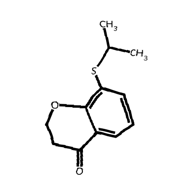 CC(C)Sc1cccc2c1OCCC2=O